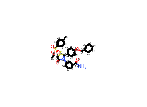 Cc1ccc(S(=O)(=O)OC(C)[C@@H]2S[C@@H](c3ccc(OCc4ccccc4)cc3)N(c3cccc(C(N)=O)c3)C2=O)cc1